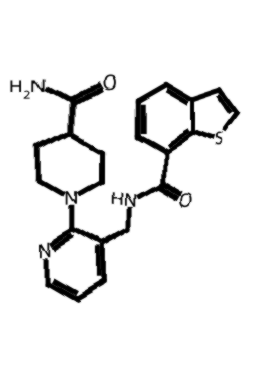 NC(=O)C1CCN(c2ncccc2CNC(=O)c2cccc3ccsc23)CC1